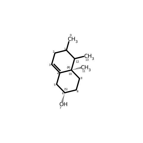 CC1CC=C2C[C@@H](O)CC[C@]2(C)C1C